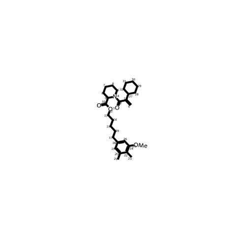 C=C(C(=O)N1CCCCC1C(=O)OCCCCCc1cc(C)c(C)c(OC)c1)C1CCCCC1